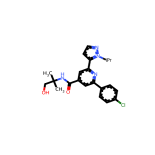 CC(C)n1nccc1-c1cc(C(=O)NC(C)(C)CO)cc(-c2ccc(Cl)cc2)n1